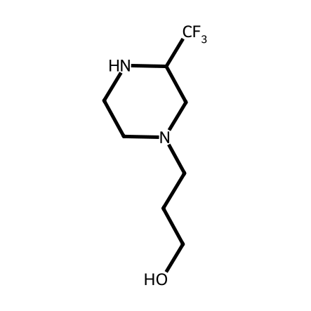 OCCCN1CCNC(C(F)(F)F)C1